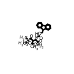 CON(C)C(=O)C(C(NC(=O)OCC1c2ccccc2-c2ccccc21)C(N)=O)C(C)(C)C